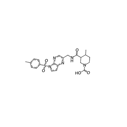 Cc1ccc(S(=O)(=O)n2ccc3nc(CNC(=O)C4CN(C(=O)O)CCC4C)cnc32)cc1